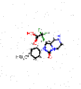 O=C(O)C(F)(F)F.O=C1N2CCNCC2CN1[C@H]1CC[C@@H](C(=O)O)CC1